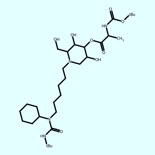 CC(NC(=O)OC(C)(C)C)C(=O)OC1C(O)CN(CCCCCCN(C(=O)NC(C)(C)C)C2CCCCC2)C(CO)C1O